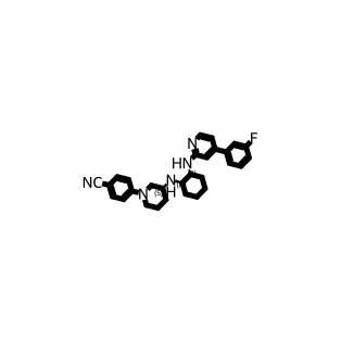 N#Cc1ccc(N2CCC[C@H](N[C@@H]3CCCC[C@H]3Nc3cc(-c4cccc(F)c4)ccn3)C2)cc1